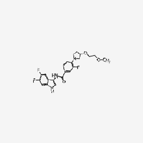 COCCOC1CCN(c2ccc(C(=O)Nc3c[nH]c4cc(F)c(F)cc34)cc2F)C1